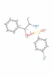 CC(NS(=O)(=O)c1ccc(Cl)cc1)C(O)c1ccccc1